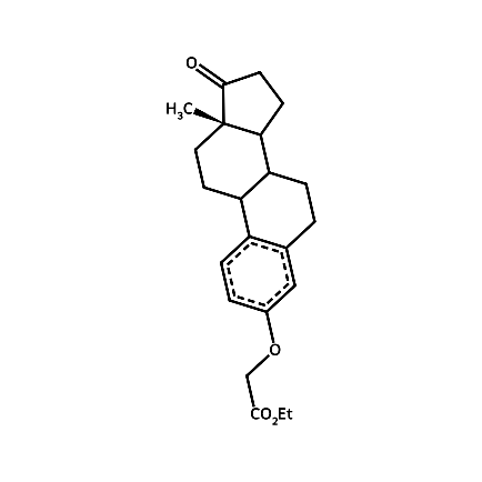 CCOC(=O)COc1ccc2c(c1)CCC1C2CC[C@]2(C)C(=O)CCC12